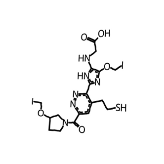 O=C(O)CNc1[nH]c(-c2nnc(C(=O)N3CCC(OCI)C3)cc2CCS)nc1OCI